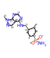 Cc1cc(S(N)(=O)=O)ccc1CNc1ncnc2c1cnn2C